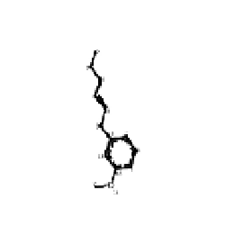 CCCC=CCc1cccc(OC)c1